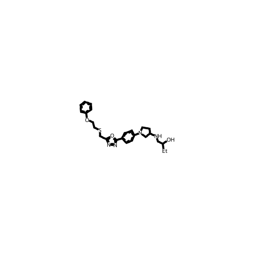 CCC(O)CNC1CCN(c2ccc(-c3nnc(CSCCOc4ccccc4)o3)cc2)C1